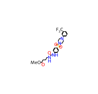 COC(=O)CCCNC(=O)Nc1ccc(S(=O)(=O)N2CCN(c3cccc(C(F)(F)F)c3)CC2)cc1